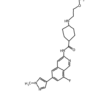 COCCNC1CCC(C(=O)Nc2cc3cc(-c4cnn(C)c4)cc(F)c3cn2)CC1